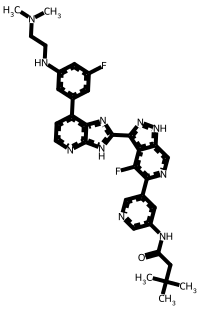 CN(C)CCNc1cc(F)cc(-c2ccnc3[nH]c(-c4n[nH]c5cnc(-c6cncc(NC(=O)CC(C)(C)C)c6)c(F)c45)nc23)c1